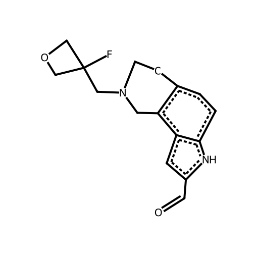 O=Cc1cc2c3c(ccc2[nH]1)CCN(CC1(F)COC1)C3